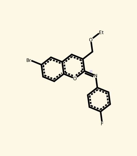 CCOCc1cc2cc(Br)ccc2o/c1=N\c1ccc(F)cc1